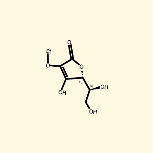 CCOC1=C(O)[C@@H]([C@@H](O)CO)OC1=O